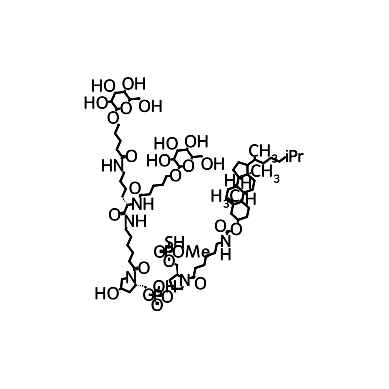 COP(=O)(S)OC[C@@H]1C[C@@H](OP(=O)(O)OC[C@@H]2C[C@@H](O)CN2C(=O)CCCCCNC(=O)[C@H](CCCCNC(=O)CCCCOC2OC(CO)C(O)C(O)C2O)NC(=O)CCCCOC2OC(CO)C(O)C(O)C2O)CN1C(=O)CCCCCNC(=O)OC1CC[C@@]2(C)C(=CC[C@@H]3[C@H]2CC[C@]2(C)C(C(C)CCCC(C)C)CC[C@H]32)C1